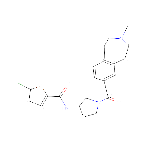 CN1CCc2ccc(C(=O)N3CC[C@H](NC(=O)C4=CCC(Cl)S4)C3)cc2CC1